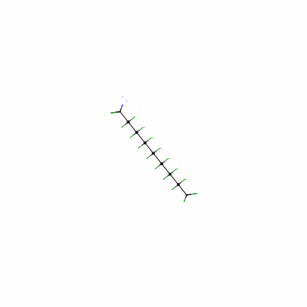 NC(F)C(F)(F)C(F)(F)C(F)(F)C(F)(F)C(F)(F)C(F)(F)C(F)(F)C(F)F